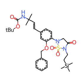 CC(C)(C=Cc1ccc(N2CC(=O)N(CC[Si](C)(C)C)S2(=O)=O)c(OCc2ccccc2)c1)NC(=O)OC(C)(C)C